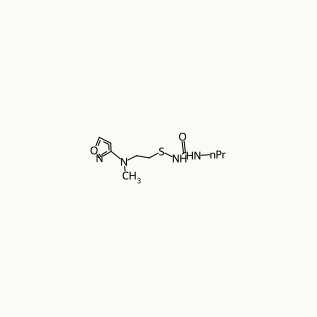 CCCNC(=O)NSCCN(C)c1ccon1